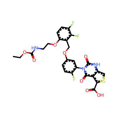 CCOC(=O)NCCOc1ccc(F)c(F)c1COc1ccc(F)c(-n2c(=O)[nH]c3csc(C(=O)O)c3c2=O)c1